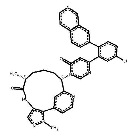 C[C@@H]1CCC[C@H](n2cnc(-c3cc(Cl)ccc3-c3ccc4ccncc4c3)cc2=O)c2cc(ccn2)-c2c(cnn2C)NC1=O